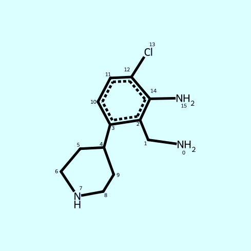 NCc1c(C2CCNCC2)ccc(Cl)c1N